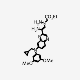 CCOC(=O)CN(N)/C=C(\N)c1cnc2ccc(N(CC3CC3)c3cc(OC)cc(OC)c3)cc2n1